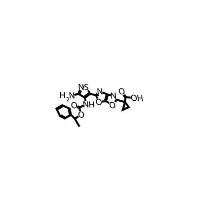 CC(OC(=O)Nc1c(N)nsc1-c1nc2nc(C3(C(=O)O)CC3)oc2o1)c1ccccc1